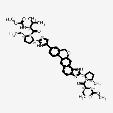 CC[C@H]1CC[C@@H](c2ncc(-c3ccc4c(c3)COc3cc5c(ccc6nc([C@@H]7CC[C@H](C)N7C(=O)[C@H](CC)NC(=O)OC)[nH]c65)cc3-4)[nH]2)N1C(=O)[C@@H](NC(=O)OC)C(C)C